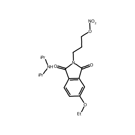 CC(C)NC(C)C.CCOc1ccc2c(c1)C(=O)N(CCCO[N+](=O)[O-])C2=O